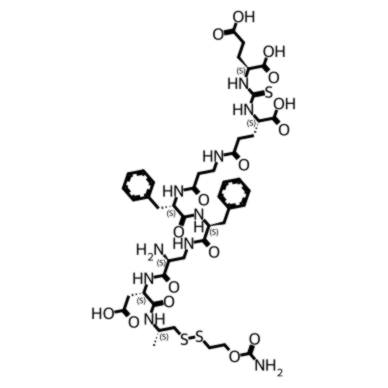 C[C@@H](CSSCCOC(N)=O)NC(=O)[C@H](CC(=O)O)NC(=O)[C@@H](N)CNC(=O)[C@H](Cc1ccccc1)NC(=O)[C@H](Cc1ccccc1)NC(=O)CCNC(=O)CC[C@H](NC(=S)N[C@@H](CCC(=O)O)C(=O)O)C(=O)O